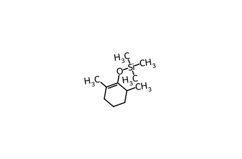 CC1=C(O[Si](C)(C)C)C(C)CCC1